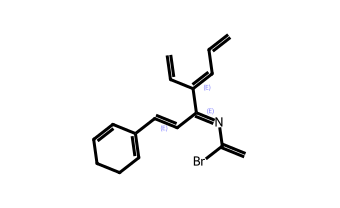 C=C/C=C(C=C)/C(/C=C/C1=CCCC=C1)=N/C(=C)Br